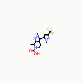 CC1c2nn(C)c(-c3cc(C(F)(F)F)nn3C)c2CCN1C(=O)O